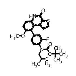 COc1ccc2[nH]c(=O)c3sccc3c2c1-c1ccc(N(CC(C)C)C(=O)OC(C)(C)C)c(F)c1